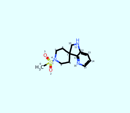 CS(=O)(=O)N1CCC2(CC1)CNc1cccnc12